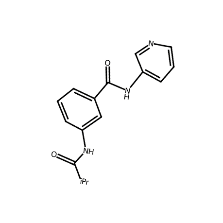 CC(C)C(=O)Nc1cccc(C(=O)Nc2cccnc2)c1